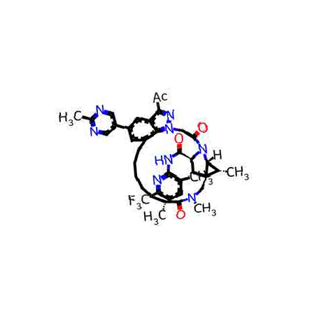 CC(=O)c1nn2c3c(cc(-c4cnc(C)nc4)cc13)CCCCC[C@@H](C)C(=O)N(C)C[C@@]13C[C@@H](C(=O)Nc4nc(C(F)(F)F)ccc4C)N(C(=O)C2)[C@@H]1[C@@H]3C